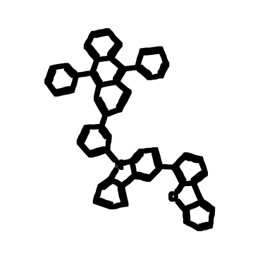 c1ccc(-c2c3ccccc3c(-c3ccccc3)c3cc(-c4cccc(-n5c6ccccc6c6cc(-c7cccc8c7oc7ccccc78)ccc65)c4)ccc23)cc1